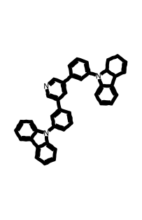 C1=CC2c3ccccc3N(c3cccc(-c4cncc(-c5cccc(-n6c7ccccc7c7ccccc76)c5)c4)c3)C2CC1